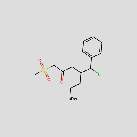 CCCCCCCCCCCCC(CC(=O)CS(C)(=O)=O)C(Cl)c1ccccc1